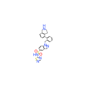 O=S(=O)(Nc1ncns1)c1ccc2c(cnn2Cc2ccccc2-c2cccc3c2CCNC3)c1